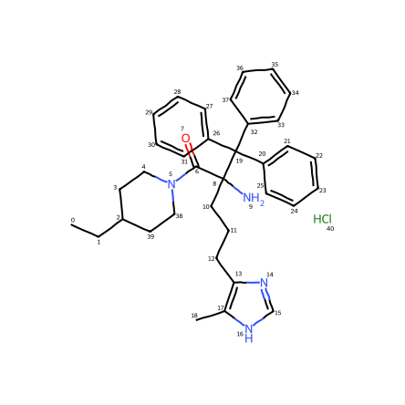 CCC1CCN(C(=O)C(N)(CCCc2nc[nH]c2C)C(c2ccccc2)(c2ccccc2)c2ccccc2)CC1.Cl